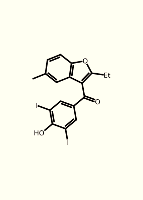 CCc1oc2ccc(C)cc2c1C(=O)c1cc(I)c(O)c(I)c1